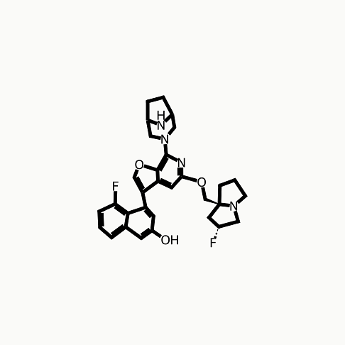 Oc1cc(-c2coc3c(N4CC5CCC(C4)N5)nc(OC[C@@]45CCCN4C[C@H](F)C5)cc23)c2c(F)cccc2c1